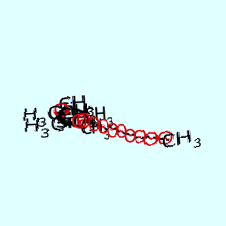 CCCCCC[Si](C)(C)OC(C)(C)C[Si](C)(C)CCCC(CC)OOCCOCCOCCOCCOCCOCCOCCOCCOC